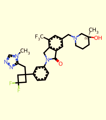 Cn1cnnc1CC1(c2cccc(N3Cc4c(cc(CN5CCC[C@](C)(O)C5)cc4C(F)(F)F)C3=O)c2)CC(F)(F)C1